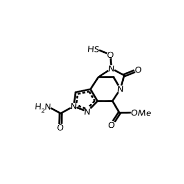 COC(=O)C1c2nn(C(N)=O)cc2C2CN1C(=O)N2OS